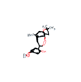 CCOc1ccc(C2COc3c(c(OC)cc4c3CCC(C)(C)O4)C2)c(O)c1